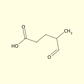 CC(C=O)CCC(=O)O